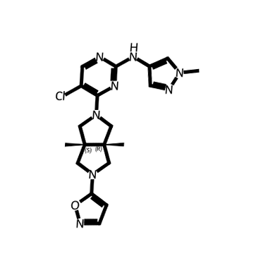 Cn1cc(Nc2ncc(Cl)c(N3C[C@]4(C)CN(c5ccno5)C[C@]4(C)C3)n2)cn1